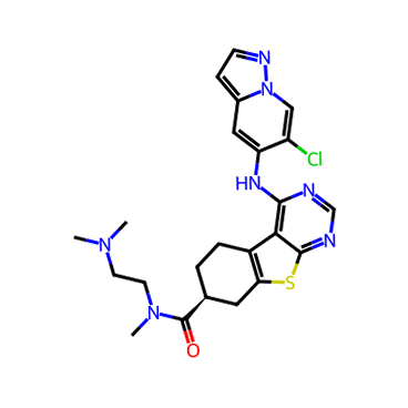 CN(C)CCN(C)C(=O)[C@H]1CCc2c(sc3ncnc(Nc4cc5ccnn5cc4Cl)c23)C1